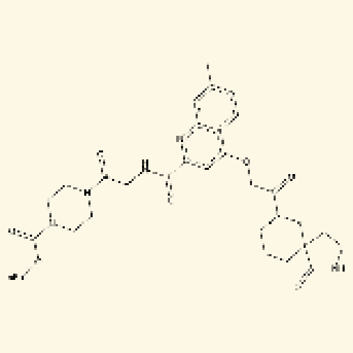 CCCCOC(=O)N1CCN(C(=O)CNC(=O)c2cc(OCC(=O)N3CCCC4(CCNC4=O)C3)c3ccc(C)cc3n2)CC1